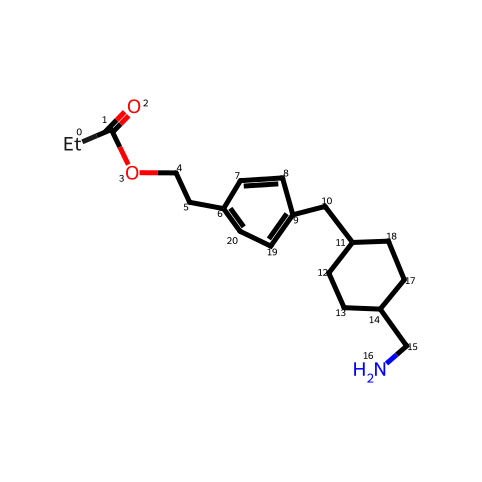 CCC(=O)OCCc1ccc(CC2CCC(CN)CC2)cc1